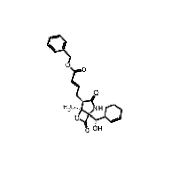 C[C@@]12OC(=O)[C@]1([C@@H](O)[C@@H]1C=CCCC1)NC(=O)[C@@H]2C/C=C/C(=O)OCc1ccccc1